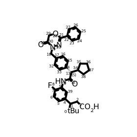 CC(C)(C)C(CC(=O)O)c1ccc(F)c(NC(=O)[C@H](c2ccc(CN3N=C(c4ccccc4)OCC3=O)cc2)C2CCCC2)c1